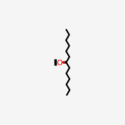 C=C.CCCCCCC(=O)CCCCCC